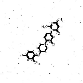 Cc1cc(=O)n(-c2ccc(N3CCC(Oc4ccc(F)cc4C)CC3)c(Cl)c2)c(C)n1